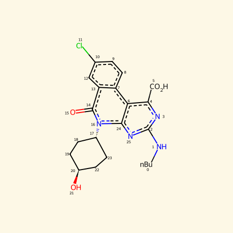 CCCCNc1nc(C(=O)O)c2c3ccc(Cl)cc3c(=O)n([C@H]3CC[C@H](O)CC3)c2n1